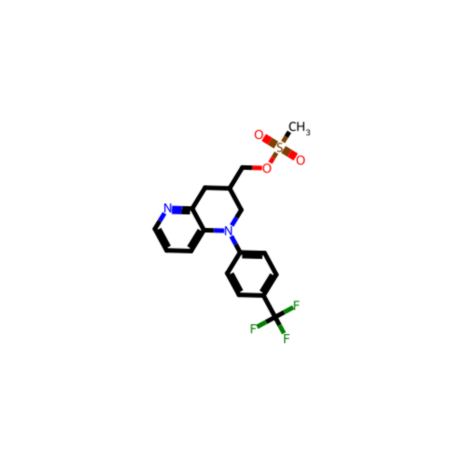 CS(=O)(=O)OCC1Cc2ncccc2N(c2ccc(C(F)(F)F)cc2)C1